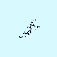 CNCC1(c2cn([C@H](C(=O)N3C[C@H](O)C[C@H]3C=O)C(C)(C)C)nn2)CC1